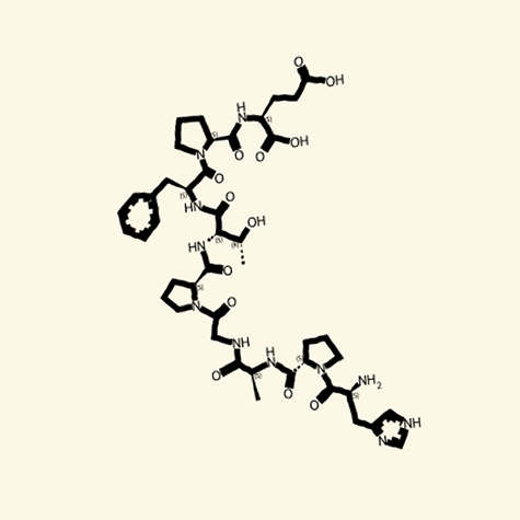 C[C@H](NC(=O)[C@@H]1CCCN1C(=O)[C@@H](N)Cc1c[nH]cn1)C(=O)NCC(=O)N1CCC[C@H]1C(=O)N[C@H](C(=O)N[C@@H](Cc1ccccc1)C(=O)N1CCC[C@H]1C(=O)N[C@@H](CCC(=O)O)C(=O)O)[C@@H](C)O